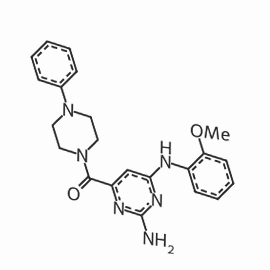 COc1ccccc1Nc1cc(C(=O)N2CCN(c3ccccc3)CC2)nc(N)n1